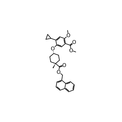 COC(=O)c1cc(O[C@H]2CC[C@@](C)(C(=O)OCc3cccc4ccccc34)CC2)c(C2CC2)cc1OC